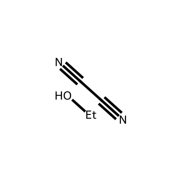 CCO.N#CC#N